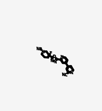 N#Cc1cc(-c2ccnc(-c3nnc(C4(F)CCCN(C#N)C4)o3)c2)ccn1